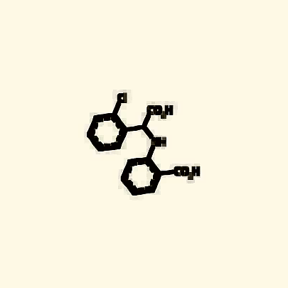 O=C(O)c1ccccc1NC(C(=O)O)c1ccccc1Cl